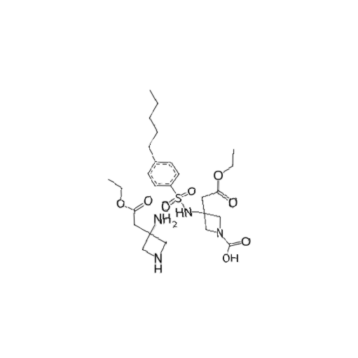 CCCCCc1ccc(S(=O)(=O)NC2(CC(=O)OCC)CN(C(=O)O)C2)cc1.CCOC(=O)CC1(N)CNC1